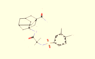 CC(C)(NS(=O)(=O)c1ccc([N+](=O)[O-])c(C(F)(F)F)c1)C(=O)NC12CC3CC(C1)CC(C(N)=O)(C3)C2